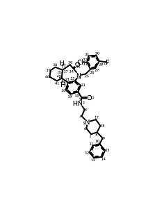 O=C(NCCN1CCC(Cc2ccccc2)CC1)c1ccc2c(c1)N(Cc1cc(F)ccc1Cl)C(=O)C[C@@H]1CCCC[C@H]21